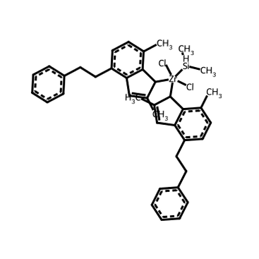 CC1=Cc2c(CCc3ccccc3)ccc(C)c2[CH]1[Zr]([Cl])([Cl])([CH]1C(C)=Cc2c(CCc3ccccc3)ccc(C)c21)[SiH](C)C